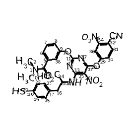 CN(C)C(=O)c1cccc(Oc2nc(NC(Cc3ccc(S)cc3)C(=O)O)c([N+](=O)[O-])c(Oc3ccc(C#N)c([N+](=O)[O-])c3)n2)c1